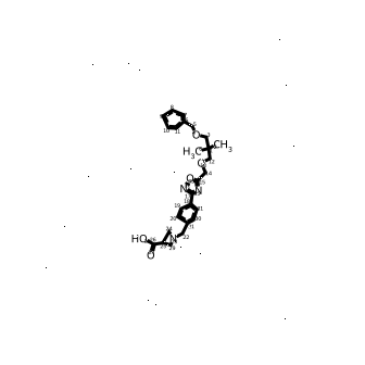 CC(C)(COCc1ccccc1)COCc1nc(-c2ccc(CN3CC(C(=O)O)C3)cc2)no1